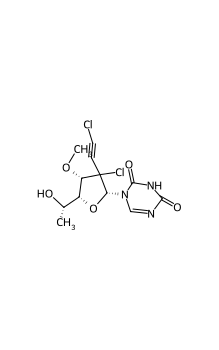 CO[C@H]1[C@@H]([C@H](C)O)O[C@@H](n2cnc(=O)[nH]c2=O)C1(Cl)C#CCl